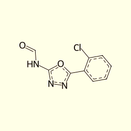 O=CNc1nnc(-c2ccccc2Cl)o1